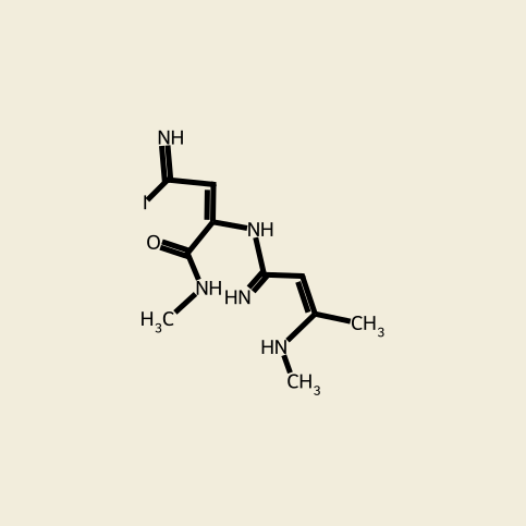 CNC(=O)/C(=C\C(=N)I)NC(=N)/C=C(/C)NC